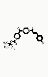 CC(C)(C)OC(=O)N1CCC(C(=O)N2CCN(C(=O)/C=C/c3ccc(Br)cc3)CC2)CC1